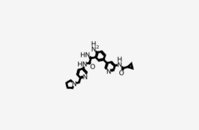 N=C(C(=O)Nc1ccc(CN2CCCC2)nc1)c1cc(-c2cncc(NC(=O)C3CC3)c2)ccc1N